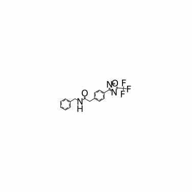 O=C(Cc1ccc(-c2noc(C(F)(F)F)n2)cc1)NCc1ccccc1